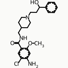 COc1cc(N)c(Cl)cc1C(=O)NCC1CCN(CCC(O)c2ccccc2)CC1